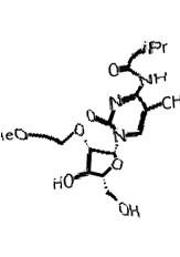 COCCO[C@H]1C(O)[C@@H](CO)O[C@H]1n1cc(C)c(NC(=O)C(C)C)nc1=O